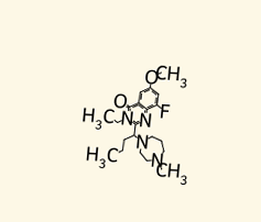 CCCC(c1nc2c(F)cc(OC)cc2c(=O)n1CC)N1CCCN(C)CC1